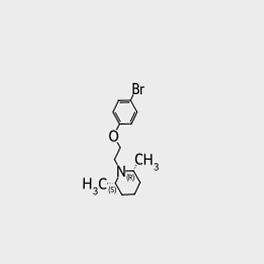 C[C@@H]1CCC[C@H](C)N1CCOc1ccc(Br)cc1